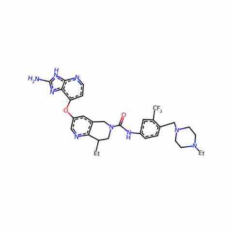 CCC1CN(C(=O)Nc2ccc(CN3CCN(CC)CC3)c(C(F)(F)F)c2)Cc2cc(Oc3ccnc4[nH]c(N)nc34)cnc21